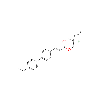 CCCC1(F)COC(/C=C/c2ccc(-c3ccc(CC)cc3)cc2)OC1